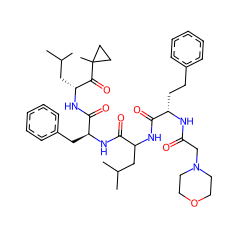 CC(C)CC(NC(=O)[C@H](CCc1ccccc1)NC(=O)CN1CCOCC1)C(=O)N[C@@H](Cc1ccccc1)C(=O)N[C@H](CC(C)C)C(=O)C1(C)CC1